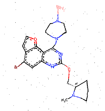 BN1CCN(c2nc(OC[C@@H]3CCCN3C)nc3cc(Br)c4ccoc4c23)CC1